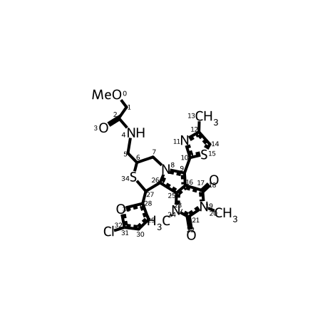 COCC(=O)NCC1Cn2c(-c3nc(C)cs3)c3c(=O)n(C)c(=O)n(C)c3c2C(c2ccc(Cl)o2)S1